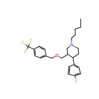 CCCCCN1CCC(c2ccc(F)cc2)C(COCc2ccc(C(F)(F)F)cc2)C1